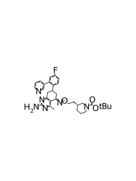 Cc1nc(N)nc2c1/C(=N/OCC[C@@H]1CCCN(C(=O)OC(C)(C)C)C1)CC(c1ccc(F)cc1-c1cccnc1)C2